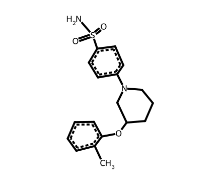 Cc1ccccc1OC1CCCN(c2ccc(S(N)(=O)=O)cc2)C1